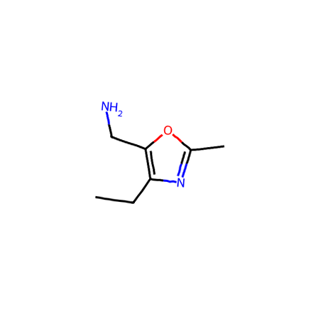 CCc1nc(C)oc1CN